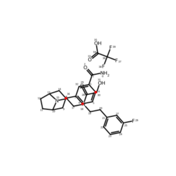 NC(=O)c1cccc(C2CC3CCC(C2)N3CCN(CCc2cccc(F)c2)C(=O)CO)c1.O=C(O)C(F)(F)F